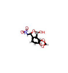 O=[N+]([O-])CC1OB(O)c2c1ccc1c2OCO1